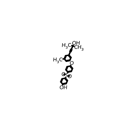 Cc1cc(C#CC(C)(C)O)cc(Oc2ccc(S(=O)(=O)c3ccc(O)cc3)cc2)c1